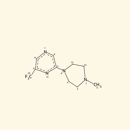 CN1CCN(c2cncc(C(F)(F)F)n2)CC1